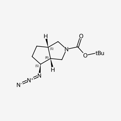 CC(C)(C)OC(=O)N1C[C@H]2CC[C@H](N=[N+]=[N-])[C@H]2C1